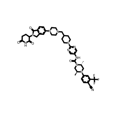 C[C@@H]1CN(c2ccc(C#N)c(C(F)(F)F)c2)[C@@H](C)CN1C(=O)Nc1cnc(N2CCC(CN3CCN(c4ccc5c(c4)CN(C4CCC(=O)NC4=O)C5=O)CC3)CC2)nc1